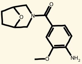 COc1cc(C(=O)N2CC3CCC(C2)O3)ccc1N